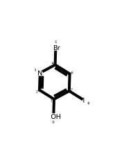 Oc1cnc(Br)cc1I